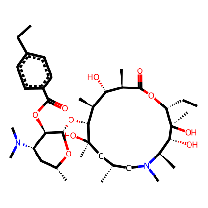 CCc1ccc(C(=O)O[C@H]2[C@H](O[C@@H]3[C@@H](C)[C@H](O)[C@@H](C)C(=O)O[C@H](CC)[C@@](C)(O)[C@H](O)[C@@H](C)N(C)C[C@H](C)C[C@@]3(C)O)O[C@H](C)C[C@@H]2N(C)C)cc1